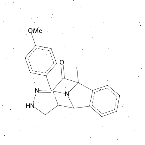 COc1ccc(CN2C3c4ccccc4C2(C)C(=O)C2=NNCC23)cc1